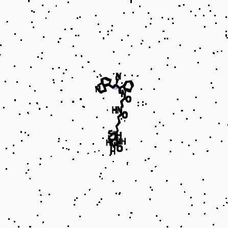 N#C/C(=C\c1cccc2cnccc12)c1cn(C(=O)CCNC(=O)CCCC[C@@H]2SC[C@@H]3NC(=O)N[C@@H]32)c2ccccc12